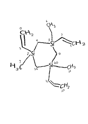 C=C[Si]1(C)C[Si](C)(C=C)C[Si](C)(C=C)C1